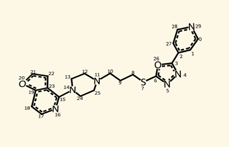 c1cc(-c2nnc(SCCCN3CCN(c4nccc5occc45)CC3)o2)ccn1